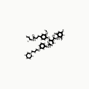 CC[C@@H](C)NC(=O)CCc1ccc(Oc2nc(Nc3cccc(OCCCN4CCCCC4)c3)ncc2C(=O)Nc2c(F)cc(F)cc2F)c(OC)c1